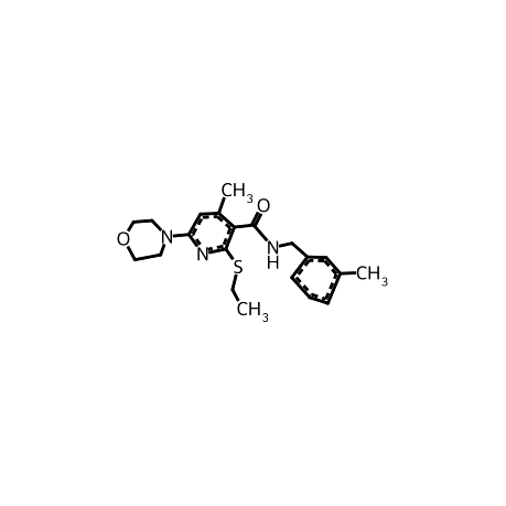 CCSc1nc(N2CCOCC2)cc(C)c1C(=O)NCc1cccc(C)c1